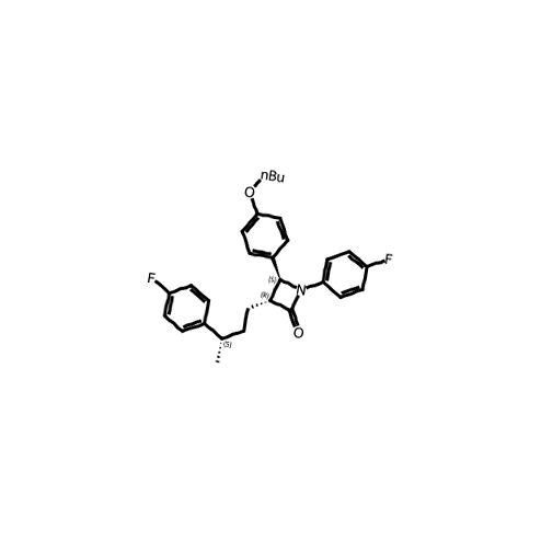 CCCCOc1ccc([C@@H]2[C@@H](CC[C@H](C)c3ccc(F)cc3)C(=O)N2c2ccc(F)cc2)cc1